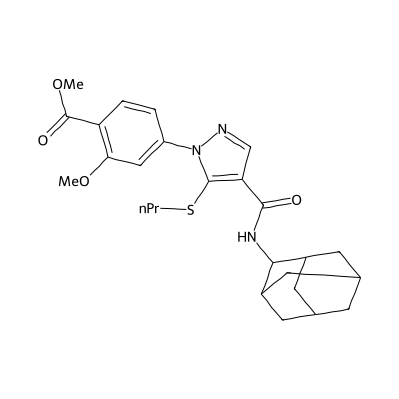 CCCSc1c(C(=O)NC2C3CC4CC(C3)CC2C4)cnn1-c1ccc(C(=O)OC)c(OC)c1